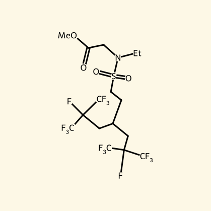 CCN(CC(=O)OC)S(=O)(=O)CCC(CC(F)(C(F)(F)F)C(F)(F)F)CC(F)(C(F)(F)F)C(F)(F)F